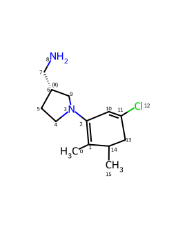 CC1=C(N2CC[C@H](CN)C2)C=C(Cl)CC1C